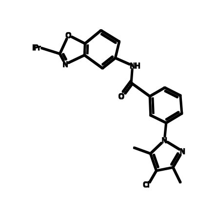 Cc1nn(-c2cccc(C(=O)Nc3ccc4oc(C(C)C)nc4c3)c2)c(C)c1Cl